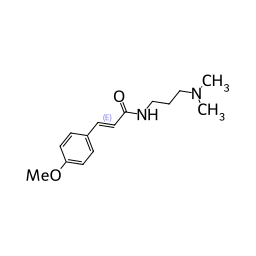 COc1ccc(/C=C/C(=O)NCCCN(C)C)cc1